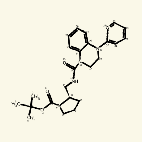 CC(C)(C)OC(=O)N1CCC[C@@H]1CNC(=O)N1CCN(c2ccccn2)c2ccccc21